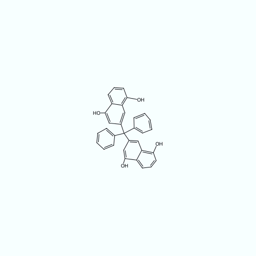 Oc1cc(C(c2ccccc2)(c2ccccc2)c2cc(O)c3cccc(O)c3c2)cc2c(O)cccc12